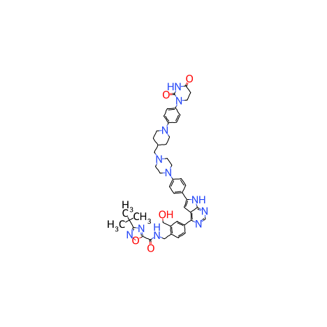 CC(C)(C)c1noc(C(=O)NCc2ccc(-c3ncnc4[nH]c(-c5ccc(N6CCN(CC7CCN(c8ccc(N9CCC(=O)NC9=O)cc8)CC7)CC6)cc5)cc34)cc2CO)n1